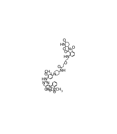 COc1cc(N2CCC(NC(=O)CCOCCNc3cccc4c3C(=O)N(C3CCC(=O)NC3=O)C4=O)CC2)ccc1Nc1ncc(Cl)c(Nc2ccccc2P(C)(C)=O)n1